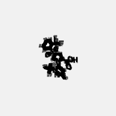 Cc1cc(N2C[C@H](S(=O)(=O)c3ccccc3C(F)(F)F)C[C@H]2C(=O)O)n(C(C)(C)C)n1